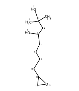 CC(C)(O)CC(O)CCCCC1CO1